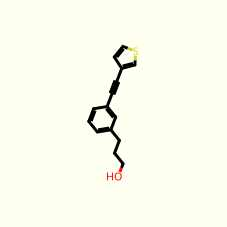 OCCCc1cccc(C#Cc2ccsc2)c1